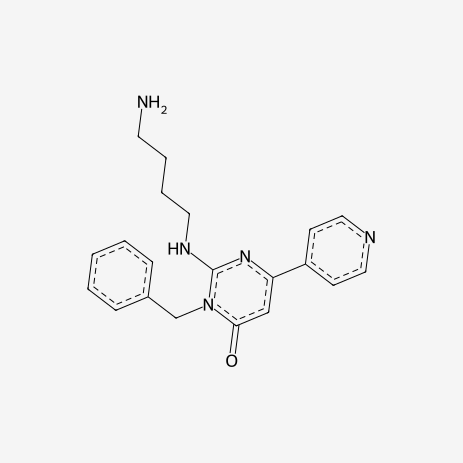 NCCCCNc1nc(-c2ccncc2)cc(=O)n1Cc1ccccc1